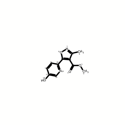 COC(=O)c1c(C)noc1-c1ccc(O)cn1